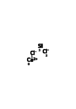 [Ca+2].[Cl-].[Cl-].[Si]